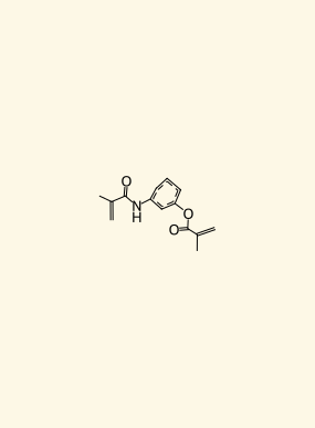 C=C(C)C(=O)Nc1cccc(OC(=O)C(=C)C)c1